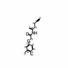 C#CCCC(=C)NC(=O)COc1ccc(C)c(C)c1